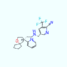 N#Cc1ncc(CNCC[C@@]2(c3ccccn3)CCOC3(CCCC3)C2)cc1C(F)(F)F